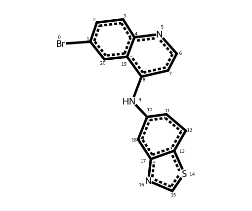 Brc1ccc2nccc(Nc3ccc4scnc4c3)c2c1